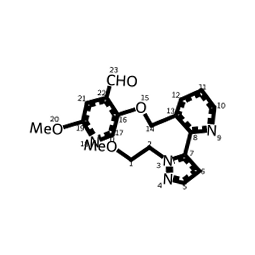 COCCn1nccc1-c1ncccc1COc1cnc(OC)cc1C=O